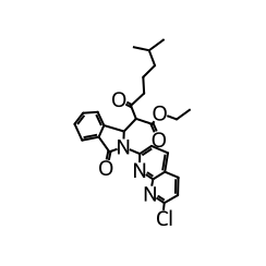 CCOC(=O)C(C(=O)CCCC(C)C)C1c2ccccc2C(=O)N1c1ccc2ccc(Cl)nc2n1